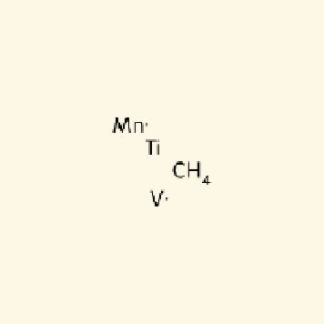 C.[Mn].[Ti].[V]